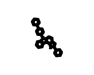 c1ccc(-c2ccc(-n3c4ccccc4c4c5sc(-c6ccccc6)cc5ccc43)cc2)cc1